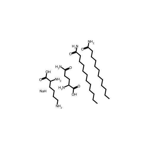 CCCCCCCCCCCC(N)=O.CCCCCCCCCCCC(N)=O.NC(=O)CCC(N)C(=O)O.NCCCCC(N)C(=O)O.[NaH]